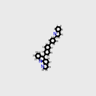 c1ccc2nc(-c3ccc(-c4ccc5cc(-c6c7ccccc7nc7c6ccc6cccnc67)ccc5c4)cc3)ccc2c1